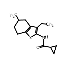 CCc1c(NC(=O)C2CC2)sc2c1CC(C)CC2